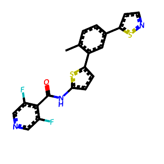 Cc1ccc(-c2ccns2)cc1-c1ccc(NC(=O)c2c(F)cncc2F)s1